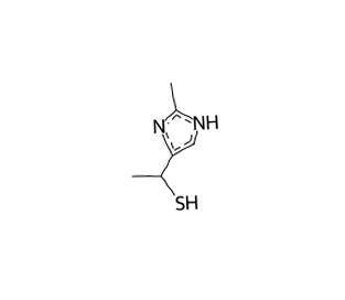 Cc1nc(C(C)S)c[nH]1